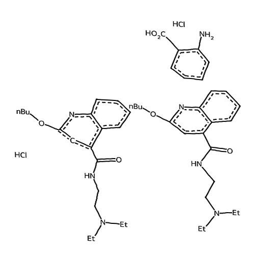 CCCCOc1cc(C(=O)NCCN(CC)CC)c2ccccc2n1.CCCCOc1cc(C(=O)NCCN(CC)CC)c2ccccc2n1.Cl.Cl.Nc1ccccc1C(=O)O